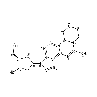 C/C(=N/c1ncnc2c1ncn2[C@H]1CC(O)[C@@H](CO)O1)N1CCOCC1